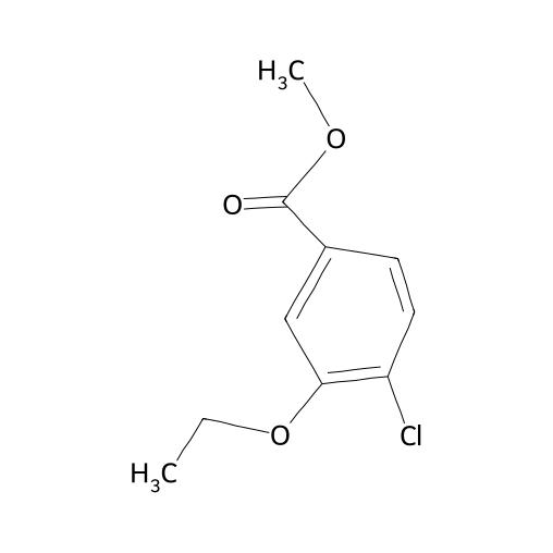 CCOc1cc(C(=O)OC)ccc1Cl